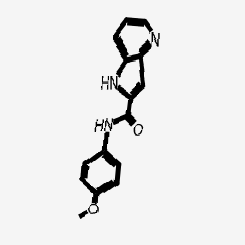 COc1ccc(NC(=O)c2cc3ncccc3[nH]2)cc1